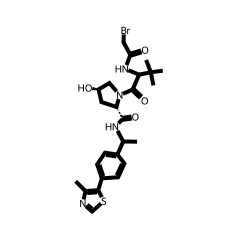 Cc1ncsc1-c1ccc(C(C)NC(=O)[C@@H]2C[C@@H](O)CN2C(=O)C(NC(=O)CBr)C(C)(C)C)cc1